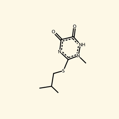 CC(C)CSc1nc(=O)c(=O)[nH]n1C